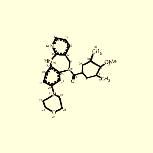 COC1C(C)CC(C(=O)N2Cc3cccnc3Nc3ccc(N4CCOCC4)cc32)CC1C